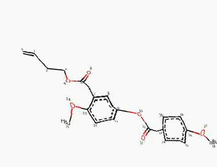 C=CCCOC(=O)c1cc(OC(=O)c2ccc(OCCCC)cc2)ccc1OCCCC